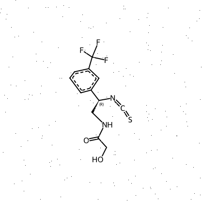 O=C(CO)NC[C@H](N=C=S)c1cccc(C(F)(F)F)c1